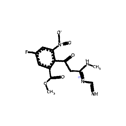 CN/C(CC(=O)c1c(C(=O)OC)cc(F)cc1[N+](=O)[O-])=N\C=N